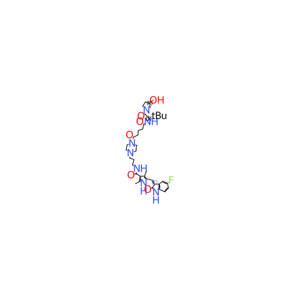 Cc1[nH]c(/C=C2\C(=O)Nc3ccc(F)cc32)c(C)c1C(=O)NCCCN1CCN(C(=O)CCCC(=O)N[C@H](C(=O)N2CC[C@@H](O)C2)C(C)(C)C)CC1